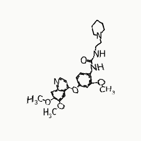 COc1cc(Oc2ccnc3cc(OC)c(OC)cc23)ccc1NC(=O)NCCN1CCCCC1